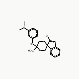 O=C(O)C1(Nc2cccc(C(F)F)c2)CCC2(CC1)C(Br)=Cc1ccccc12